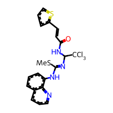 CS/C(=N\C(NC(=O)/C=C/c1cccs1)C(Cl)(Cl)Cl)Nc1cccc2cccnc12